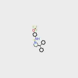 FC(F)(F)Oc1ccc(NSN2CCCC(=C(c3ccccc3)c3ccccc3)C2)cc1